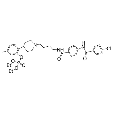 CCOP(=O)(OCC)Oc1cc(C)ccc1C1CCN(CCCCNC(=O)c2ccc(NC(=O)c3ccc(Cl)cc3)cc2)CC1